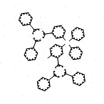 N#Cc1ccc([Si](c2ccccc2)(c2ccccc2)c2cccc(-c3nc(-c4ccccc4)nc(-c4ccccc4)n3)c2)cc1-c1nc(-c2ccccc2)nc(-c2ccccc2)n1